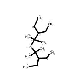 CCC(CC)C(C)(C)[N]C(C)(C)C(CC)CC